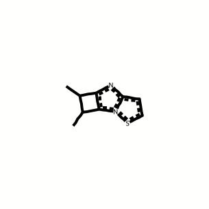 CC1c2nc3ccsn3c2C1C